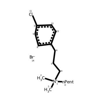 CCCCC[N+](C)(C)CCCc1ccc(Cl)cc1.[Br-]